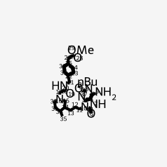 CCCCOc1nc(N)c2[nH]c(=O)n(CCCC3CN(CC(=O)NCc4ccc(CC(=O)OC)cc4)CCC3C)c2n1